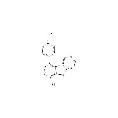 COc1ccc(-c2ncc(O)c3[nH]c4ccccc4c23)cc1